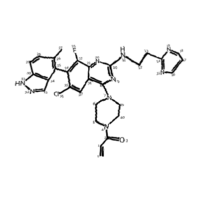 C=CC(=O)N1CCN(c2nc(NCCc3ncccn3)nc3c(F)c(-c4c(C)ccc5[nH]ncc45)c(Cl)cc23)CC1